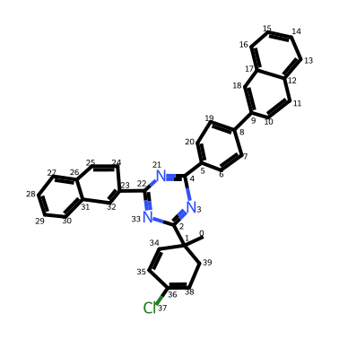 CC1(c2nc(-c3ccc(-c4ccc5ccccc5c4)cc3)nc(-c3ccc4ccccc4c3)n2)C=CC(Cl)=CC1